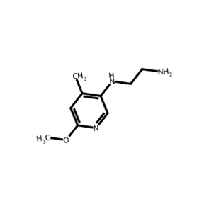 COc1cc(C)c(NCCN)cn1